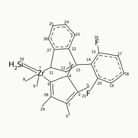 CC1=C(C)C(C)[C]([Zr]([CH3])([CH3])(=[SiH2])[CH]2C=C(c3c(F)cccc3F)c3ccccc32)=C1C